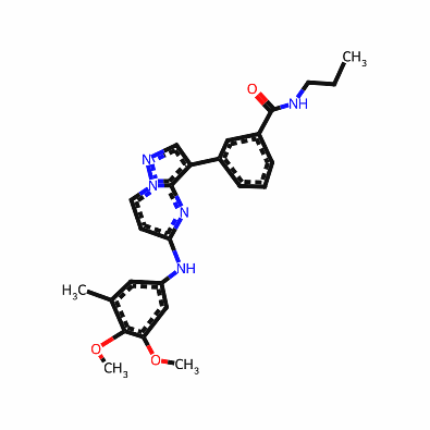 CCCNC(=O)c1cccc(-c2cnn3ccc(Nc4cc(C)c(OC)c(OC)c4)nc23)c1